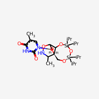 Cc1cn([C@@H]2O[C@]34CO[Si](C(C)C)(C(C)C)O[Si](C(C)C)(C(C)C)OC3C2ONC4C)c(=O)[nH]c1=O